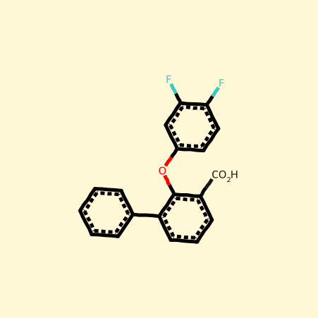 O=C(O)c1cccc(-c2ccccc2)c1Oc1ccc(F)c(F)c1